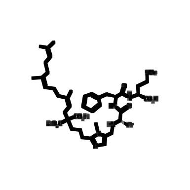 CCOC(=O)C(CC=C(C)CCC=C(C)CCC=C(C)C)(CCCc1ncc(CN[C@H](C(=O)N[C@@H](Cc2ccccc2)C(=O)N[C@@H](CCSC)C(=O)O)C(C)C)n1C)C(=O)OCC